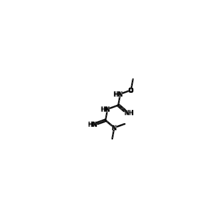 CONC(=N)NC(=N)N(C)C